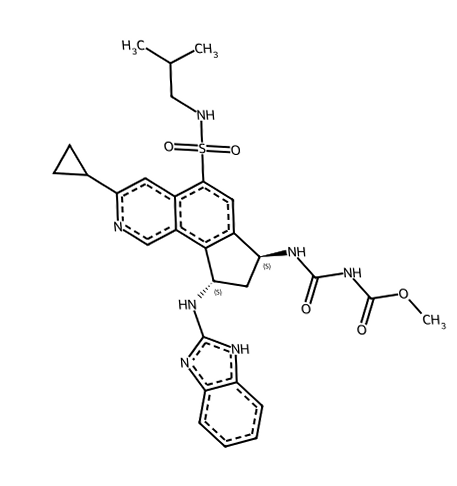 COC(=O)NC(=O)N[C@H]1C[C@H](Nc2nc3ccccc3[nH]2)c2c1cc(S(=O)(=O)NCC(C)C)c1cc(C3CC3)ncc21